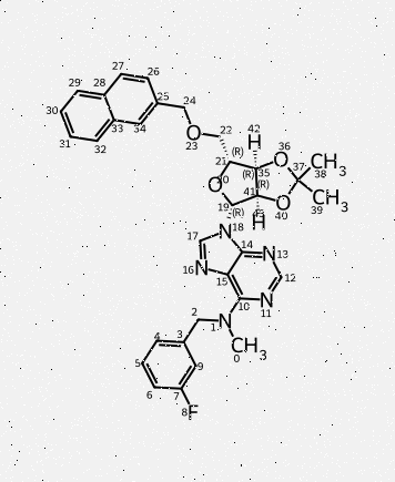 CN(Cc1cccc(F)c1)c1ncnc2c1ncn2[C@@H]1O[C@H](COCc2ccc3ccccc3c2)[C@H]2OC(C)(C)O[C@H]21